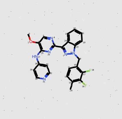 COc1cnc(-c2nn(Cc3ccc(C)c(F)c3F)c3ccccc23)nc1Nc1ccncc1